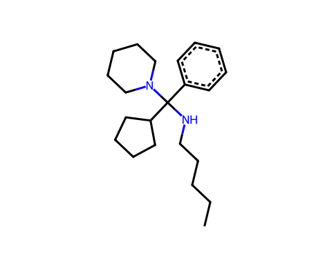 CCCCCNC(c1ccccc1)(C1CCCC1)N1CCCCC1